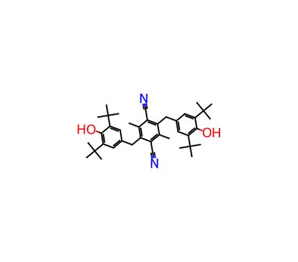 Cc1c(C#N)c(Cc2cc(C(C)(C)C)c(O)c(C(C)(C)C)c2)c(C)c(C#N)c1Cc1cc(C(C)(C)C)c(O)c(C(C)(C)C)c1